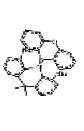 CC(C)(C)c1cccc2c1N(B1c3ccccc3Oc3ccccc31)c1c(C(C)(C)C)cccc1C2(C)C